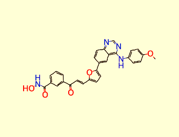 COc1ccc(Nc2ncnc3ccc(-c4ccc(C=CC(=O)c5cccc(C(=O)NO)c5)o4)cc23)cc1